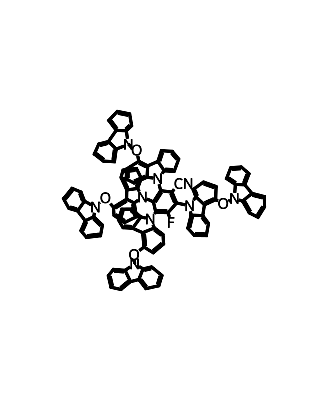 N#Cc1c(-n2c3ccccc3c3c(On4c5ccccc5c5ccccc54)cccc32)c(F)c(-n2c3ccccc3c3c(On4c5ccccc5c5ccccc54)cccc32)c(-n2c3ccccc3c3c(On4c5ccccc5c5ccccc54)cccc32)c1-n1c2ccccc2c2c(On3c4ccccc4c4ccccc43)cccc21